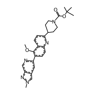 COc1c(-c2cc3cn(C)nc3cn2)ccc2nc(C3CCN(C(=O)OC(C)(C)C)CC3)ccc12